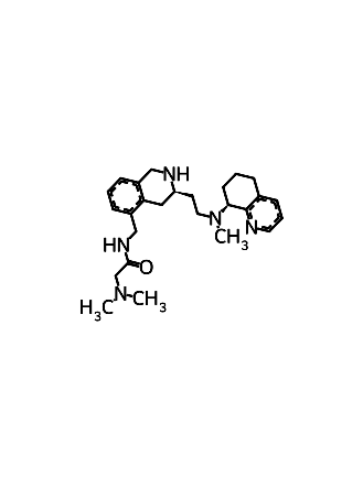 CN(C)CC(=O)NCc1cccc2c1C[C@H](CCN(C)[C@H]1CCCc3cccnc31)NC2